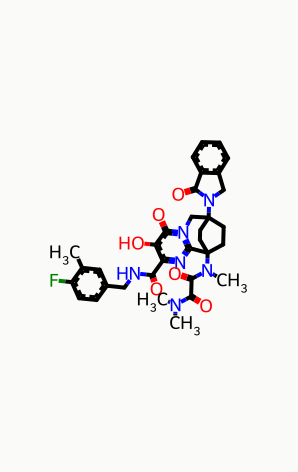 Cc1cc(CNC(=O)c2nc3n(c(=O)c2O)CC2(N4Cc5ccccc5C4=O)CCC3(N(C)C(=O)C(=O)N(C)C)CC2)ccc1F